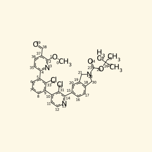 COc1nc(-c2cccc(-c3ccnc(-c4ccc5c(c4)CN(C(=O)OC(C)(C)C)C5)c3Cl)c2Cl)ccc1C=O